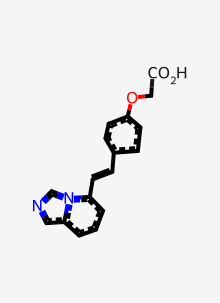 O=C(O)COc1ccc(/C=C/c2cccc3cncn23)cc1